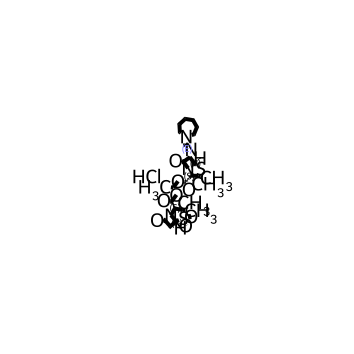 CC(OC(=O)[C@@H]1N2C(=O)C(/N=C/N3CCCCCC3)[C@H]2SC1(C)C)OC(=O)[C@@H]1N2C(=O)C[C@H]2S(=O)(=O)C1(C)C.Cl